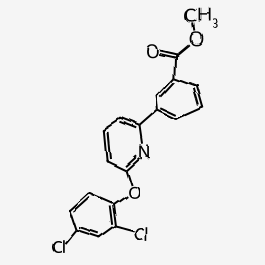 COC(=O)c1cccc(-c2cccc(Oc3ccc(Cl)cc3Cl)n2)c1